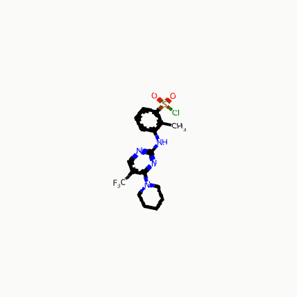 Cc1c(Nc2ncc(C(F)(F)F)c(N3CCCCC3)n2)cccc1S(=O)(=O)Cl